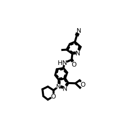 Cc1cc(C#N)cnc1C(=O)Nc1ccc2c(c1)c(C1COC1)nn2C1CCCCO1